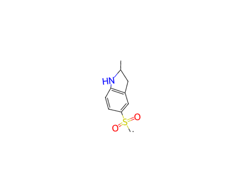 [CH2]S(=O)(=O)c1ccc2c(c1)CC(C)N2